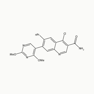 CCCc1cc2c(Cl)c(C(N)=O)cnc2cc1-c1cnc(OC)nc1OC